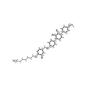 CCCCCCCOc1ccc(COc2ccc(-c3ccc(-c4ccc(C)cc4)c(F)c3F)cc2)cc1F